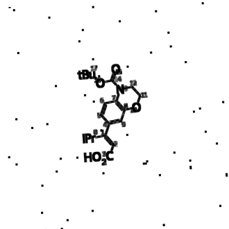 CC(C)C(=CC(=O)O)c1ccc2c(c1)OCCN2C(=O)OC(C)(C)C